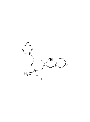 CC1(C)CC(N2CCOC2)CC(C)(CN2CCOC2)C1